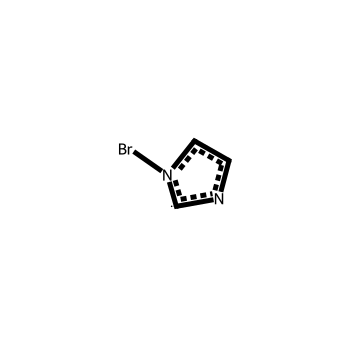 Brn1[c]ncc1